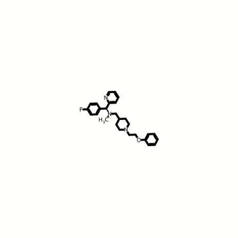 CN(CC1CCN(CCOc2ccccc2)CC1)[C@@H](c1ccc(F)cc1)c1ccccn1